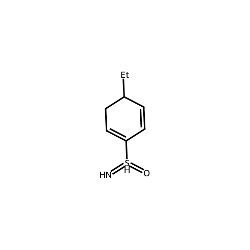 CCC1C=CC([SH](=N)=O)=CC1